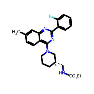 CCOC(=O)NC[C@@H]1CCCN(c2nc(-c3ccccc3F)nc3cc(C)ccc23)C1